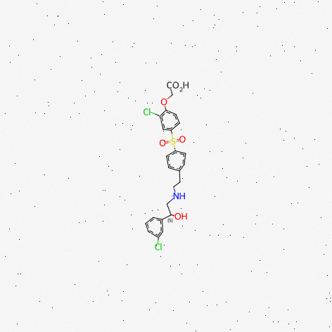 O=C(O)COc1ccc(S(=O)(=O)c2ccc(CCNC[C@@H](O)c3cccc(Cl)c3)cc2)cc1Cl